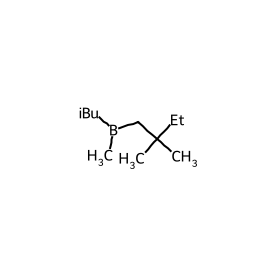 CCC(C)B(C)CC(C)(C)CC